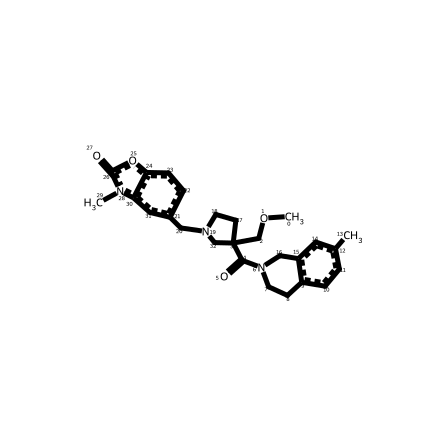 COCC1(C(=O)N2CCc3ccc(C)cc3C2)CCN(Cc2ccc3oc(=O)n(C)c3c2)C1